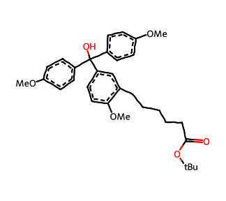 COc1ccc(C(O)(c2ccc(OC)cc2)c2ccc(OC)c(CCCCCC(=O)OC(C)(C)C)c2)cc1